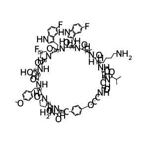 COc1ccc(C[C@@H]2NC(=O)[C@H]([C@@H](C)O)NC(=O)[C@@H]3C[C@H](F)CN3C(=O)[C@](C)(Cc3c[nH]c4ccc(F)cc34)NC(=O)[C@@H](Cc3c[nH]c4ccc(F)cc34)NC(=O)[C@@H](C)NC(=O)[C@@H](CCCCN)NC(=O)[C@@H](NC(=O)C(C)C)CC(=O)NCCOc3ccc(cc3)C[C@@H](C(N)=O)NC(=O)[C@]3(C)CCCN3C2=O)cc1